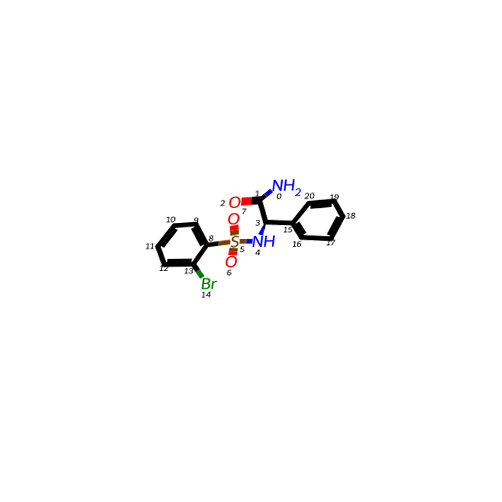 NC(=O)[C@H](NS(=O)(=O)c1ccccc1Br)c1ccccc1